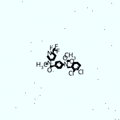 COC(=O)N(Cc1cccc(Cl)c1Cl)c1ccc(C(=O)N(C)c2ccc(C(F)(F)F)nc2)cc1